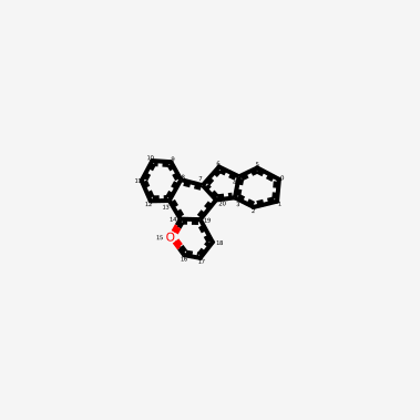 c1ccc2c(c1)cc1c3ccccc3c3occcc3c21